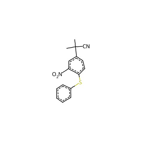 CC(C)(C#N)c1ccc(Sc2ccccc2)c([N+](=O)[O-])c1